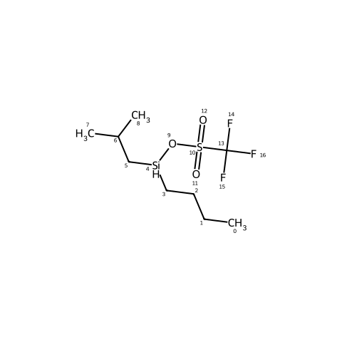 CCCC[SiH](CC(C)C)OS(=O)(=O)C(F)(F)F